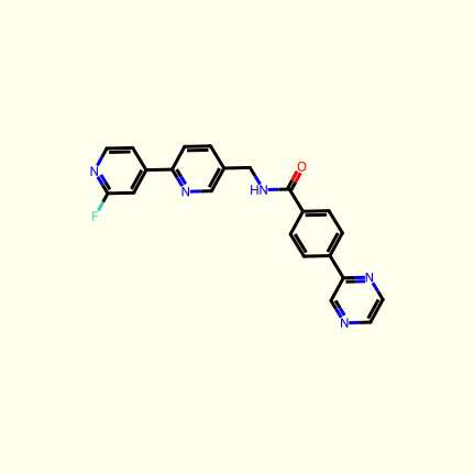 O=C(NCc1ccc(-c2ccnc(F)c2)nc1)c1ccc(-c2cnccn2)cc1